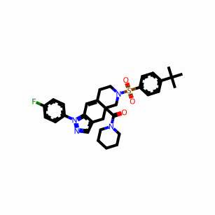 CC(C)(C)c1ccc(S(=O)(=O)N2CCC3=Cc4c(cnn4-c4ccc(F)cc4)CC3(C(=O)N3CCCCC3)C2)cc1